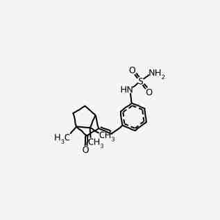 CC12CCC(C(=Cc3cccc(NS(N)(=O)=O)c3)C1=O)C2(C)C